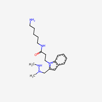 CNN(C)Cc1cc2ccccc2n1CCC(=O)NCCCCCN